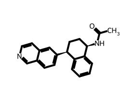 CC(=O)N[C@@H]1CC[C@H](c2ccc3cnccc3c2)c2ccccc21